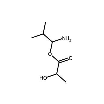 CC(O)C(=O)OC(N)C(C)C